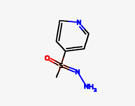 CS(=O)(=NN)c1ccncc1